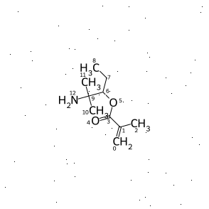 C=C(C)C(=O)OC(CC)C(C)(C)N